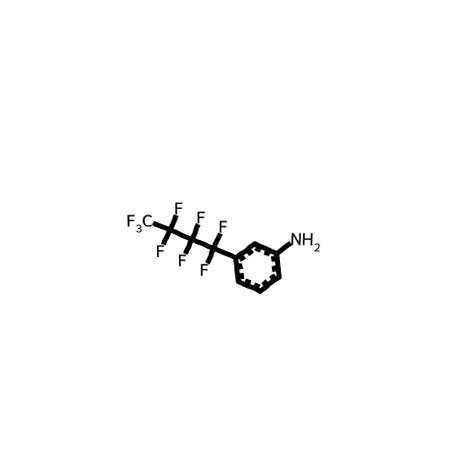 Nc1cccc(C(F)(F)C(F)(F)C(F)(F)C(F)(F)F)c1